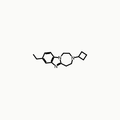 CCc1ccc2c(c1)nc1n2CCN(C2CCC2)CC1